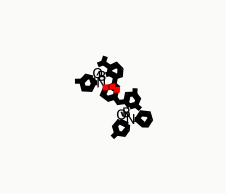 Cc1cc(C)c(B2Oc3cc(C)ccc3N2c2ccccc2)c(Cc2ccc(N3B(c4c(C(C)C)cccc4C(C)C)Oc4cc(C)ccc43)cc2)c1